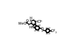 COC(=O)CC1NCCc2c1[nH]c1ccc(OCc3ccc(C(F)(F)F)cc3)cc21.Cl